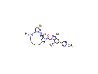 CC(=O)c1nn(CC(=O)N2C3C[C@@]34CCCCCCCN(C)Cc3ccc(Br)nc3NC(=O)[C@@H]2C4)c2c(C)cc(-c3cnc(C)nc3)cc12